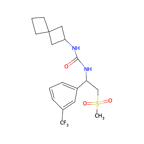 CS(=O)(=O)CC(NC(=O)NC1CC2(CCC2)C1)c1cccc(C(F)(F)F)c1